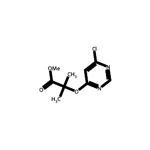 COC(=O)C(C)(C)Oc1cc(Cl)ncn1